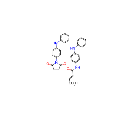 O=C(O)C=CC(=O)Nc1ccc(Nc2ccccc2)cc1.O=C1C=CC(=O)N1c1ccc(Nc2ccccc2)cc1